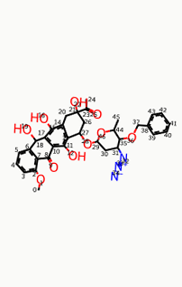 COc1cccc2c1C(=O)c1c(O)c3c(c(O)c1C2O)CC(O)(C(C)=O)CC3OC1CC(N=[N+]=[N-])C(OCc2ccccc2)C(C)O1